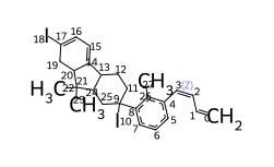 C=C/C=C\c1cccc(C2(I)CCC3C4=CC=C(I)CC4C(C)(C)C3C2)c1C